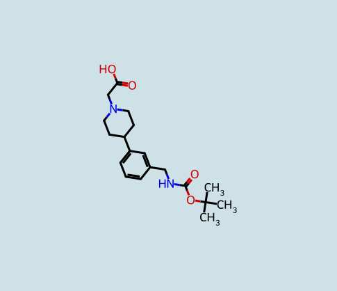 CC(C)(C)OC(=O)NCc1cccc(C2CCN(CC(=O)O)CC2)c1